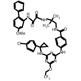 COc1ccc(-c2ccccc2)c(NC(=O)C(=O)NCC(C)(C)CNC(=O)c2ccc(Nc3nc(NC4(c5ccc(Cl)cc5)CC4)nc(OCC(F)(F)F)n3)cc2)c1